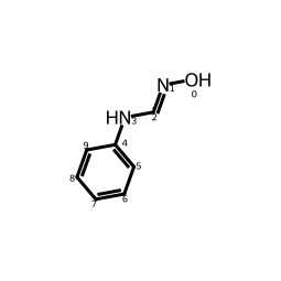 ON=[C]Nc1ccccc1